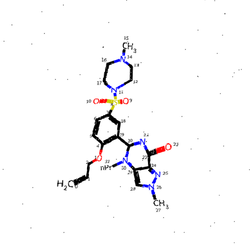 C=CCOc1ccc(S(=O)(=O)N2CCN(C)CC2)cc1C1[N]C(=O)c2nn(C)cc2N1CCC